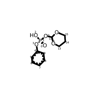 O=P(O)(Oc1ccccc1)OC1OCCCO1